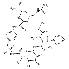 C/C(=C\C(C(C)C)N(C)C(=O)C(NC(=O)C(N(C)C(=O)OC(C)(C)C)C(C)(C)c1ccccc1)C(C)(C)C)C(=O)NS(=O)(=O)Cc1ccc(NC(=O)C(CCCNC(N)=O)NC(=O)C(N)C(C)C)cc1